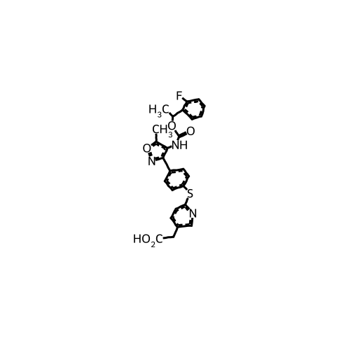 Cc1onc(-c2ccc(Sc3ccc(CC(=O)O)cn3)cc2)c1NC(=O)OC(C)c1ccccc1F